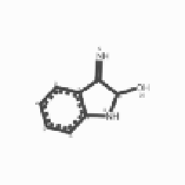 N=C1c2ccccc2NC1O